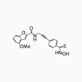 COc1cccc2oc(C(=O)NCC#Cc3ccc(C(=S)NO)cc3)cc12